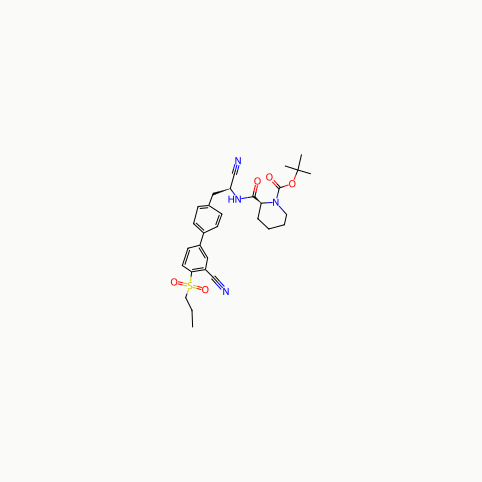 CCCS(=O)(=O)c1ccc(-c2ccc(C[C@@H](C#N)NC(=O)[C@@H]3CCCCN3C(=O)OC(C)(C)C)cc2)cc1C#N